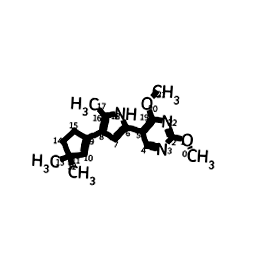 COc1ncc(-c2cc(C3=CC(C)(C)CC3)c(C)[nH]2)c(OC)n1